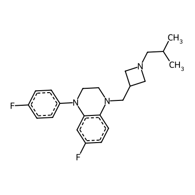 CC(C)CN1CC(CN2CCN(c3ccc(F)cc3)c3cc(F)ccc32)C1